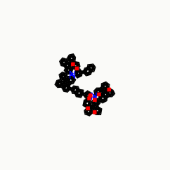 c1ccc(C2(c3ccccc3)c3ccccc3-c3ccc(N(c4ccc(-c5ccc6ccccc6c5)cc4)c4ccc5c(c4)C(c4ccccc4)(c4ccccc4)c4cccc(-c6ccc7cc(-c8ccc(N(c9ccc%10c(c9)C(c9ccccc9)(c9ccccc9)c9ccccc9-%10)c9ccc%10c(c9)C9(c%11ccccc%11-c%11ccccc%119)c9ccccc9-%10)cc8)ccc7c6)c4-5)cc32)cc1